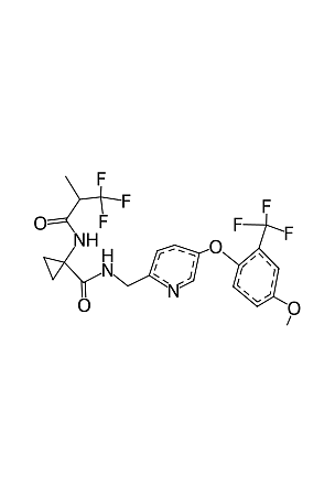 COc1ccc(Oc2ccc(CNC(=O)C3(NC(=O)C(C)C(F)(F)F)CC3)nc2)c(C(F)(F)F)c1